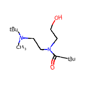 CN(CCN(CCO)C(=O)C(C)(C)C)C(C)(C)C